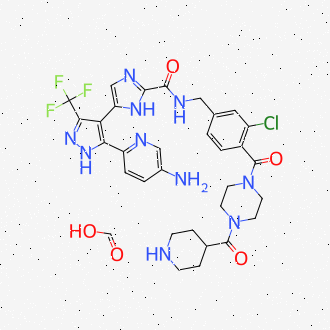 Nc1ccc(-c2[nH]nc(C(F)(F)F)c2-c2cnc(C(=O)NCc3ccc(C(=O)N4CCN(C(=O)C5CCNCC5)CC4)c(Cl)c3)[nH]2)nc1.O=CO